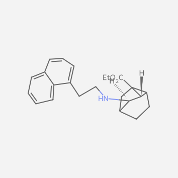 CCOC(=O)[C@@H]1C2CCC(CC2)[C@H]1NCCc1cccc2ccccc12